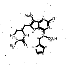 COc1c(CC(CO)NC(=O)OC(C)(C)C)sc2c(N(Cc3cccs3)C(=O)O)nc(Cl)nc12